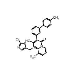 Cc1ccc(-c2cccc(-c3c(O)[n+](Cc4cnc(Cl)s4)c4c(C)cccn4c3=O)c2)cc1